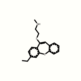 CCc1ccc2c(c1)Sc1ccccc1C=C2SCCNC